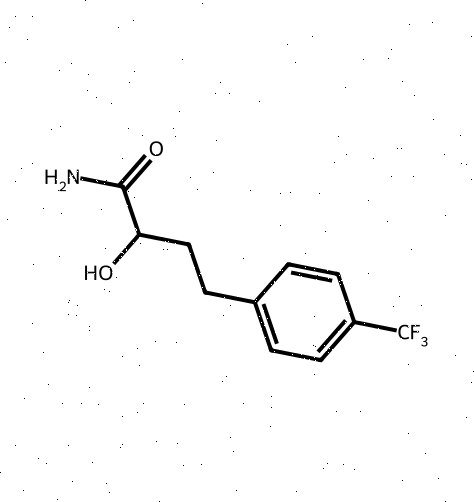 NC(=O)C(O)CCc1ccc(C(F)(F)F)cc1